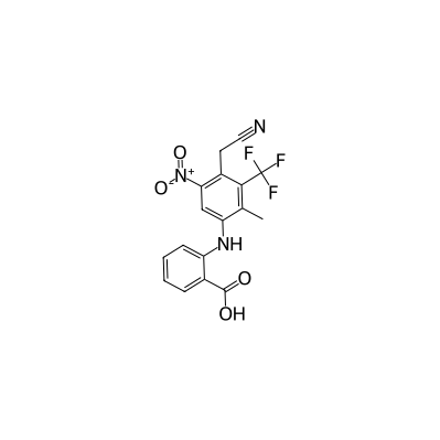 Cc1c(Nc2ccccc2C(=O)O)cc([N+](=O)[O-])c(CC#N)c1C(F)(F)F